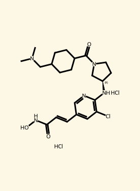 CN(C)CC1CCC(C(=O)N2CC[C@@H](Nc3ncc(C=CC(=O)NO)cc3Cl)C2)CC1.Cl.Cl